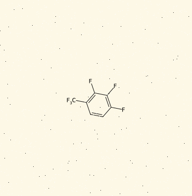 Fc1ccc(C(F)(F)F)c(F)c1F